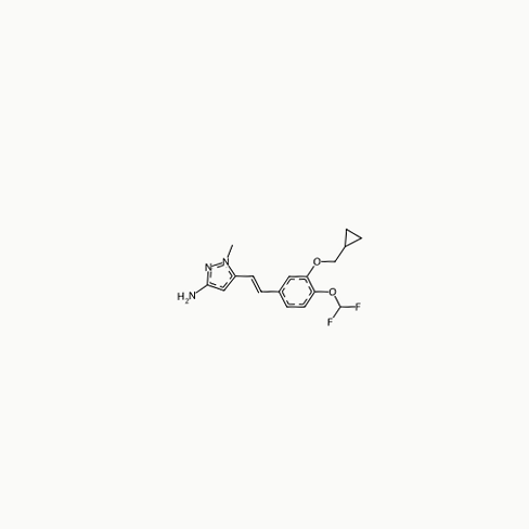 Cn1nc(N)cc1/C=C/c1ccc(OC(F)F)c(OCC2CC2)c1